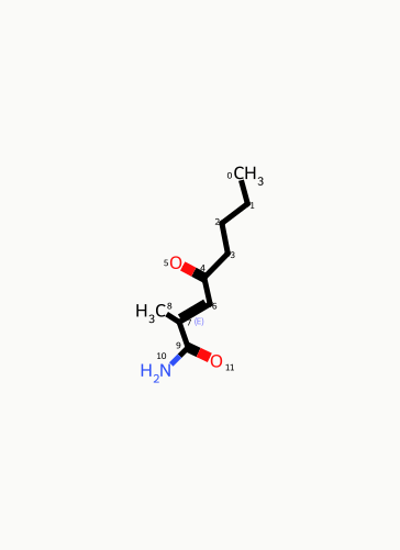 CCCCC(=O)/C=C(\C)C(N)=O